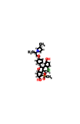 CC1=C(c2cc(O)ccc2Cl)C(c2ccc(OCC(C)N3CCC(C)C3)cc2)Oc2ccc(O)c(S(C)(=O)=O)c21